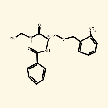 N#CCNC(=O)[C@H](CSCc1ccccc1[N+](=O)[O-])NC(=O)c1ccccc1